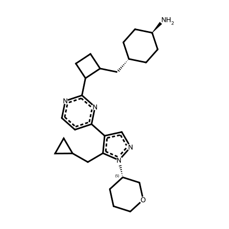 N[C@H]1CC[C@H](CC2CCC2c2nccc(-c3cnn([C@H]4CCCOC4)c3CC3CC3)n2)CC1